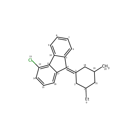 CCC1C/C(=C2/c3ccccc3-c3c(Cl)cccc32)CC(C)C1